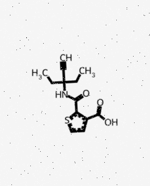 C#CC(CC)(CC)NC(=O)c1sccc1C(=O)O